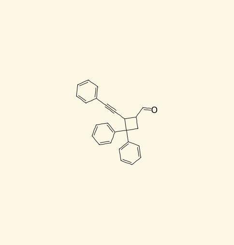 O=CC1CC(c2ccccc2)(c2ccccc2)C1C#Cc1ccccc1